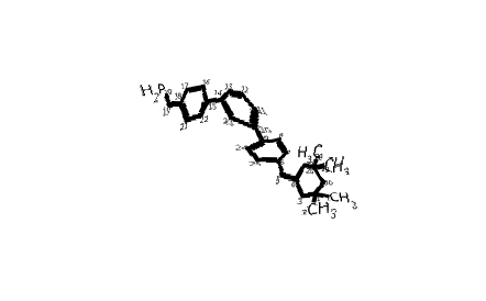 CC1(C)CC(Cc2ccc(-c3cccc(-c4ccc(CP)cc4)c3)cc2)CC(C)(C)C1